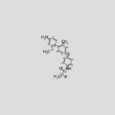 CCc1cc(N)ccc1-c1ccc(Oc2ccc(NC(=O)C(C)F)cc2)cc1C